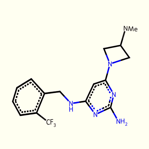 CNC1CN(c2cc(NCc3ccccc3C(F)(F)F)nc(N)n2)C1